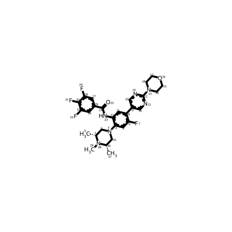 C[C@@H]1CN(c2cc(F)c(-c3cnc(N4CCOCC4)nc3)cc2NC(=O)c2cc(F)c(F)c(F)c2)C[C@H](C)N1C